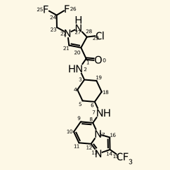 O=C(NC1CCC(Nc2cccc3nc(C(F)(F)F)cn23)CC1)C1=CN(CC(F)F)NC1Cl